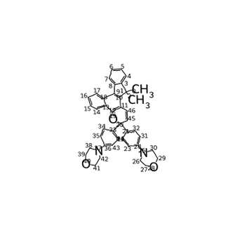 CC1(C)c2ccccc2-c2c1c1c(c3ccccc23)OC(c2ccc(N3CCOCC3)cc2)(c2ccc(N3CCOCC3)cc2)C=C1